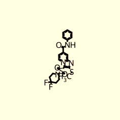 CSc1nc2cc(C(=O)Nc3ccccc3)ccn2c1S(=O)(=O)N1CCC(F)(F)CC1